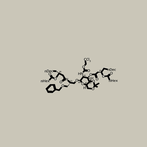 CCCCCCCCCCC[C@H](CC(=O)N[C@@H](COCc1ccccc1)CO[C@@H]1O[C@@H]2COC(C)(C)O[C@H]2[C@H](OC(=O)C[C@@H](CCCCCCCCCCC)OC(=O)CCCCCC)[C@H]1NC(=O)OCC(Cl)(Cl)Cl)OC(=O)CCCCCC